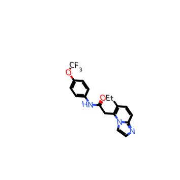 CCc1ccc2nccn2c1CC(=O)Nc1ccc(OC(F)(F)F)cc1